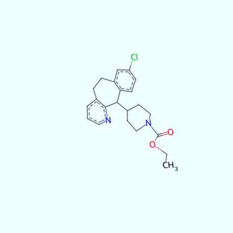 CCOC(=O)N1CCC(C2c3ccc(Cl)cc3CCc3cccnc32)CC1